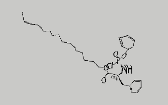 CCCCCCCCCCCCCCOC(=O)[C@H](Cc1ccccc1)NP(=O)(Cl)Oc1ccccc1